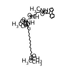 C[C@@H](CCCCNC(=O)CC[C@H](NC(=O)CCCCCCCCCCCCCCCCC(=O)OC(C)(C)C)C(=O)OC(C)(C)C)NC(=O)OCC1c2ccccc2-c2ccccc21